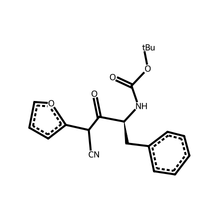 CC(C)(C)OC(=O)N[C@@H](Cc1ccccc1)C(=O)C(C#N)c1ccco1